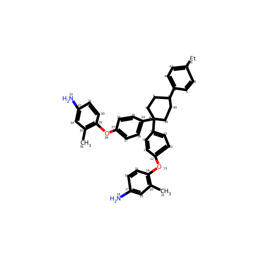 CCc1ccc(C2CCC(c3ccc(Oc4ccc(N)cc4C)cc3)(c3ccc(Oc4ccc(N)cc4C)cc3)CC2)cc1